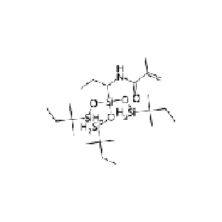 C=C(C)C(=O)NC(CC)[Si](O[SiH2]C(C)(C)CC)(O[SiH2]C(C)(C)CC)O[SiH2]C(C)(C)CC